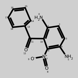 Nc1ccc(N)c([N+](=O)[O-])c1C(=O)c1ccccc1